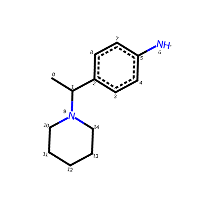 CC(c1ccc([NH])cc1)N1CCCCC1